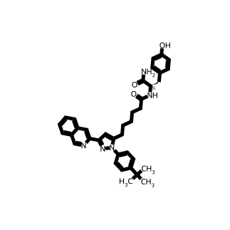 CC(C)(C)c1ccc(-n2nc(-c3cc4ccccc4cn3)cc2CCCCCC(=O)N[C@@H](Cc2ccc(O)cc2)C(N)=O)cc1